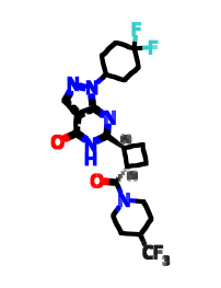 O=C([C@H]1CC[C@@H]1c1nc2c(cnn2C2CCC(F)(F)CC2)c(=O)[nH]1)N1CCC(C(F)(F)F)CC1